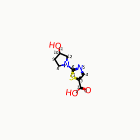 O=C(O)c1cnc(N2CCC(O)C2)s1